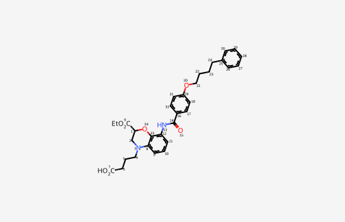 CCOC(=O)C1CN(CCCC(=O)O)c2cccc(NC(=O)c3ccc(OCCCCc4ccccc4)cc3)c2O1